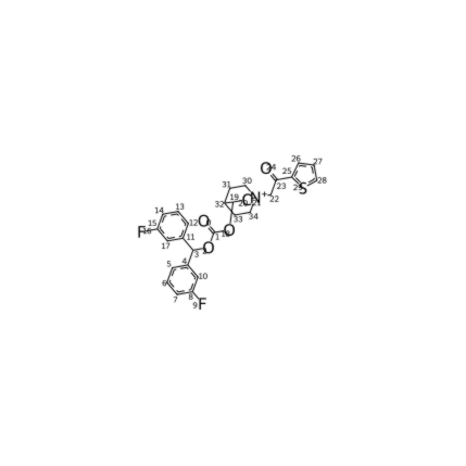 O=C(OC(c1cccc(F)c1)c1cccc(F)c1)OC1C[N+]2(CC(=O)c3cccs3)CCC1CC2